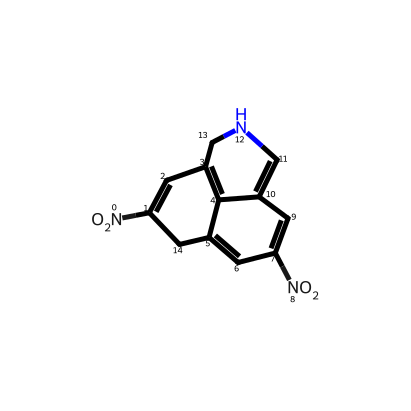 O=[N+]([O-])C1=CC2=c3c(cc([N+](=O)[O-])cc3=CNC2)C1